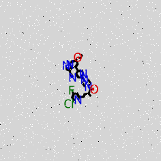 CCOc1cc(-c2ccc(N3CCN(C(=O)C(C)/C=C/c4cc(F)cc(Cl)n4)CC3)nc2)c2c(C#N)cnn2c1